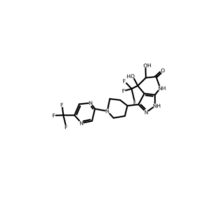 O=C1Nc2[nH]nc(C3CCN(c4cnc(C(F)(F)F)cn4)CC3)c2C(O)(C(F)(F)F)C1O